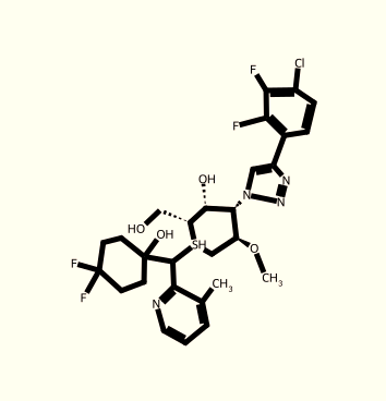 CO[C@H]1C[SH](C(c2ncccc2C)C2(O)CCC(F)(F)CC2)[C@H](CO)[C@H](O)[C@@H]1n1cc(-c2ccc(Cl)c(F)c2F)nn1